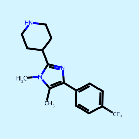 Cc1c(-c2ccc(C(F)(F)F)cc2)nc(C2CCNCC2)n1C